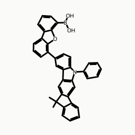 CC1(C)c2ccccc2-c2cc3c(cc21)c1cc(-c2cccc4c2oc2c(B(O)O)cccc24)ccc1n3-c1ccccc1